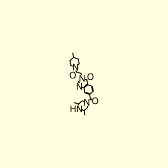 CC1CCN(C(=O)Cn2cnc3cc(C(=O)N4CC(C)NC(C)C4)ccc3c2=O)CC1